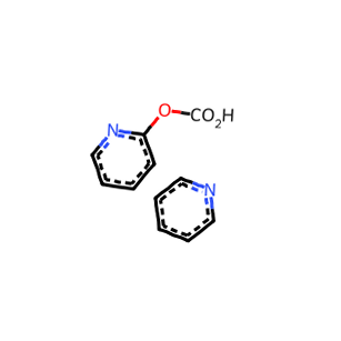 O=C(O)Oc1ccccn1.c1ccncc1